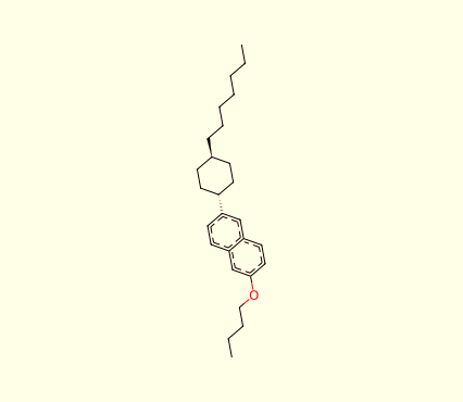 CCCCCCC[C@H]1CC[C@H](c2ccc3cc(OCCCC)ccc3c2)CC1